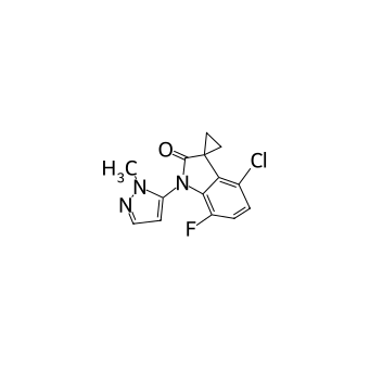 Cn1nccc1N1C(=O)C2(CC2)c2c(Cl)ccc(F)c21